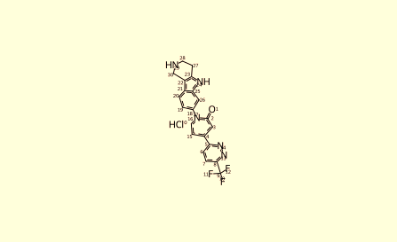 Cl.O=c1cc(-c2ccc(C(F)(F)F)nn2)ccn1-c1ccc2c3c([nH]c2c1)CCNC3